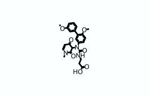 COc1cccc(-c2cc(N(C(=O)NCCC(=O)O)C3C(=O)C=CN(C)C3=O)ccc2OC)c1